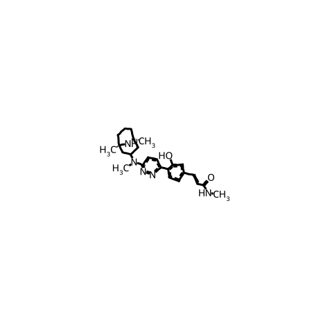 CNC(=O)/C=C/c1ccc(-c2ccc(N(C)C3C[C@]4(C)CCC[C@](C)(C3)N4)nn2)c(O)c1